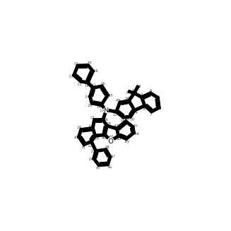 CC1(C)c2ccccc2-c2ccc(N(c3ccc(-c4ccccc4)cc3)c3cc4cccc(-c5ccccc5)c4c4oc5ccccc5c34)cc21